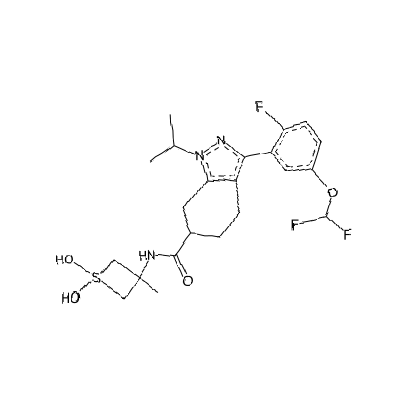 CC(C)n1nc(-c2cc(OC(F)F)ccc2F)c2c1CC(C(=O)NC1(C)CS(O)(O)C1)CC2